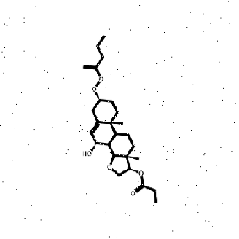 C=C(CCC)OO[C@H]1CC[C@@]2(C)C(=C[C@H](O)C3C2CC[C@@]2(C)C3OC[C@@H]2OC(=O)CC)C1